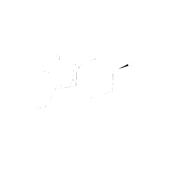 CC[C@H]1COc2c(C)cnn2C1